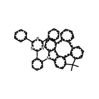 CC1(C)c2cccc3c4ccccc4c4cccc5c4c4c(c1ccc4n5-c1ccccc1-c1nc(-c4ccccc4)nc(-c4ccccc4)n1)c23